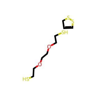 C1=CSSC1.SCCOCCOCCS